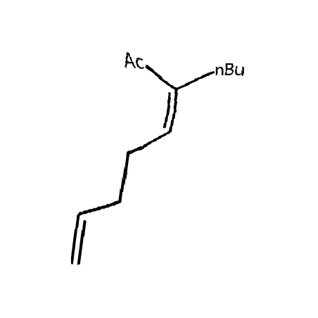 C=CCCC=C(CCCC)C(C)=O